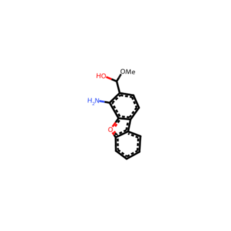 COC(O)c1ccc2c(oc3ccccc32)c1N